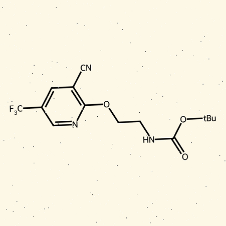 CC(C)(C)OC(=O)NCCOc1ncc(C(F)(F)F)cc1C#N